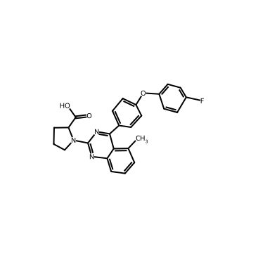 Cc1cccc2nc(N3CCCC3C(=O)O)nc(-c3ccc(Oc4ccc(F)cc4)cc3)c12